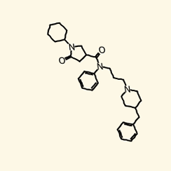 O=C(C1CC(=O)N(C2CCCCC2)C1)N(CCCN1CCC(Cc2ccccc2)CC1)c1ccccc1